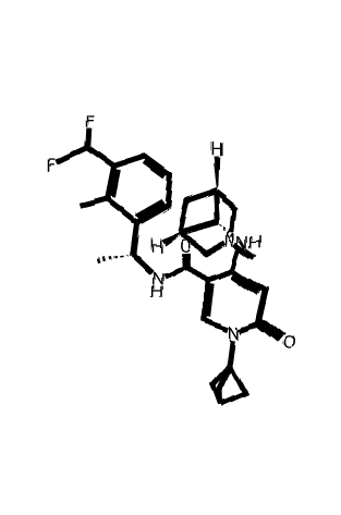 Cc1c(C(F)F)cccc1[C@@H](C)NC(=O)c1cn(C23CC(C2)C3)c(=O)cc1N[C@H]1[C@@H]2C[C@H]1CN(C)C2